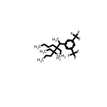 CCCCC(CC)(C(C)c1cc(C(F)(F)F)cc(C(F)(F)F)c1)C(C)(CC)CCC